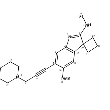 CCNC1=Nc2cc(C#CCN3CCCCC3)c(OC)cc2C12CCC2